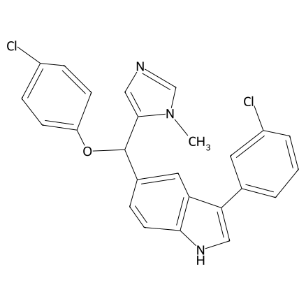 Cn1cncc1C(Oc1ccc(Cl)cc1)c1ccc2[nH]cc(-c3cccc(Cl)c3)c2c1